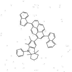 Cc1c(-c2cc(-c3cccc4ccccc34)c3ccc4ccc(-c5cccc6ccccc56)c5ccc2c3c45)cc2c(c1C)N(c1ccccc1)C1(C)CCCCC21C